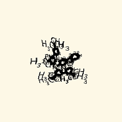 CC(C)(C)c1ccc2c(c1)c1cc(C(C)(C)C)ccc1n2-c1cc2c(oc3ccccc32)c(-n2c3ccc(C(C)(C)C)cc3c3cc(C(C)(C)C)ccc32)c1C#N